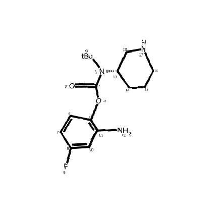 CC(C)(C)N(C(=O)Oc1ccc(F)cc1N)[C@H]1CCCNC1